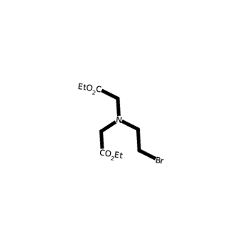 CCOC(=O)CN(CCBr)CC(=O)OCC